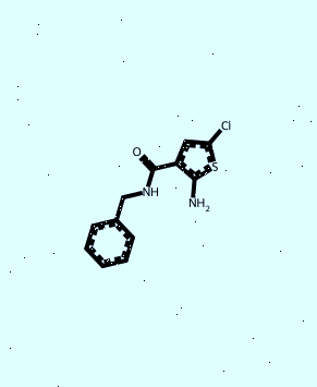 Nc1sc(Cl)cc1C(=O)NCc1ccccc1